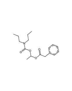 CCCN(CCC)C(=O)OC(C)OC(=O)Cc1ccccc1